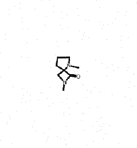 CN1CC2(CCCN2C)C1=O